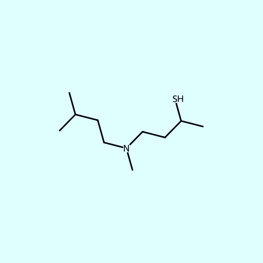 CC(C)CCN(C)CCC(C)S